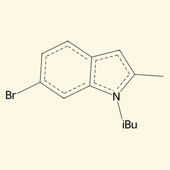 CCC(C)n1c(C)cc2ccc(Br)cc21